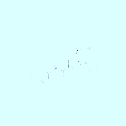 O=C(N[C@H]1C[C@@H](C(=O)O)N(CC(F)(F)F)C1)c1ccc(Cl)s1